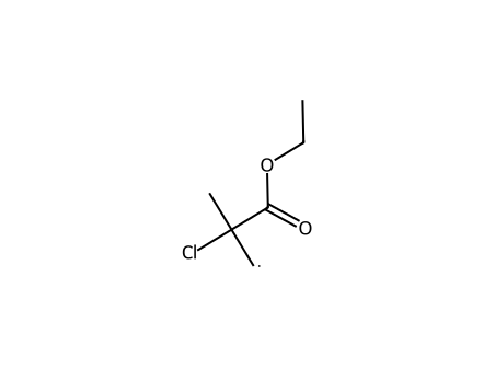 [CH2]C(C)(Cl)C(=O)OCC